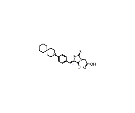 O=C(O)CN1C(=O)/C(=C/c2ccc(N3CCC4(CCCCC4)CC3)cc2)SC1=S